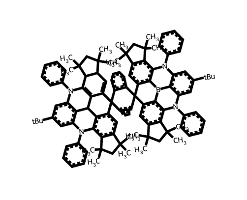 CC(C)(C)c1cc2c3c(c1)N(c1ccccc1)c1c4c(cc5c1C(C)(C)CC5(C)C)C1(c5ccccc5C5(C6=CC7C(C8=C6C6c9c(cc(C(C)(C)C)cc9N(c9ccccc9)c9c6c5cc5c9C(C)(C)CC5(C)C)N8c5ccccc5)C(C)(C)CC7(C)C)c5ccccc51)c1cc5c(c(c1B34)N2c1ccccc1)C(C)(C)CC5(C)C